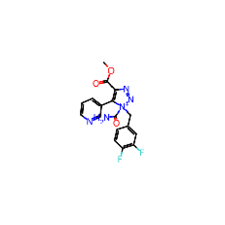 COC(=O)C1=C(c2cccnc2)[N+](Cc2ccc(F)c(F)c2)(C(N)=O)N=N1